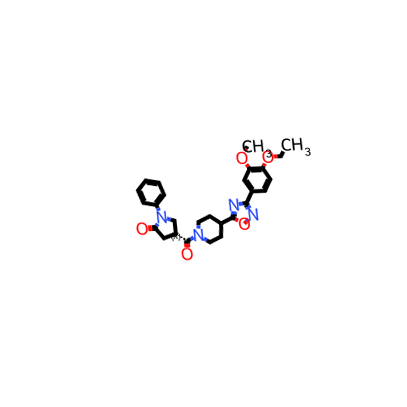 CCOc1ccc(-c2noc(C3CCN(C(=O)[C@@H]4CC(=O)N(c5ccccc5)C4)CC3)n2)cc1OC